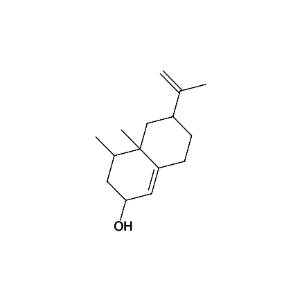 C=C(C)C1CCC2=CC(O)CC(C)C2(C)C1